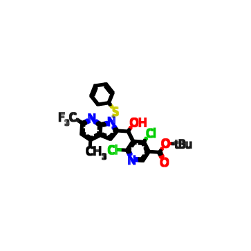 Cc1cc(C(F)(F)F)nc2c1cc(C(O)c1c(Cl)ncc(C(=O)OC(C)(C)C)c1Cl)n2SC1C=CC=CC1